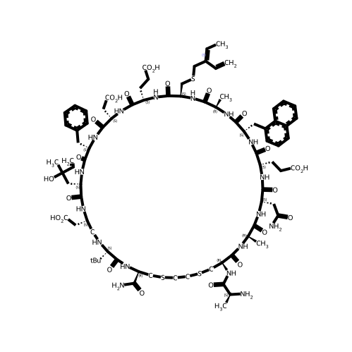 C=C/C(=C\C)CSC[C@H]1NC(=O)[C@@H](C)NC(=O)[C@H](Cc2cccc3ccccc23)NC(=O)[C@H](CCC(=O)O)NC(=O)[C@H](CC(N)=O)NC(=O)[C@@H](C)NC(=O)[C@@H](NC(=O)[C@H](C)N)CSCCSC[C@@H](C(N)=O)NC(=O)[C@H](C(C)(C)C)NC[C@H](CC(=O)O)NC(=O)[C@H](CC(C)(O)C=C)NC(=O)[C@H](Cc2ccccc2)NC(=O)[C@H](CC(=O)O)NC(=O)[C@H](CCC(=O)O)NC1=O